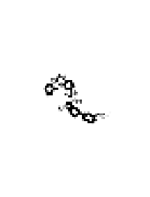 O=C(Nc1ccc2c(c1)N(Cc1ccccc1)C(=O)CS2)Nc1c[nH]c2ccc(-c3cccc(CO)c3)cc12